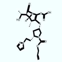 C=CCOC(=O)N1C[C@@H](SC2=C(OC(=O)O)N3C(=O)[C@H]([C@@H](C)O)[C@H]3[C@H]2C)C[C@H]1CCn1cccn1